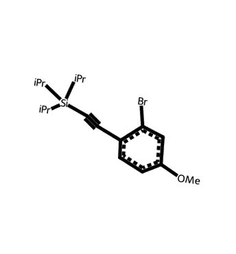 COc1ccc(C#C[Si](C(C)C)(C(C)C)C(C)C)c(Br)c1